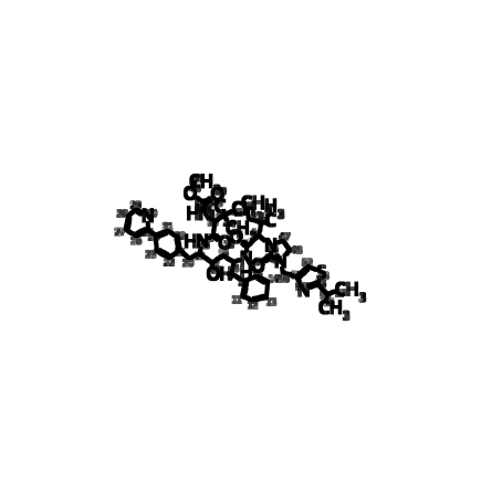 CCC(C)C(C(=O)NC(Cc1ccccc1)CC(O)C(Cc1ccc(-c2ccccn2)cc1)NC(=O)C(NC(=O)OC)C(C)(C)C)N1CCN(Cc2csc(C(C)C)n2)C1=O